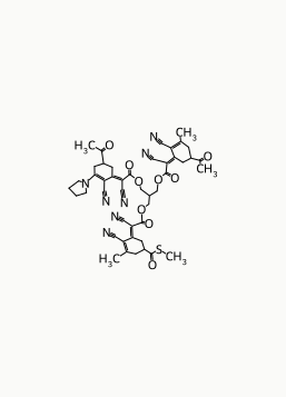 CSC(=O)C1CC(C)=C(C#N)/C(=C(\C#N)C(=O)OCC(COC(=O)/C(C#N)=C2\CC(C(C)=O)CC(C)=C2C#N)COC(=O)/C(C#N)=C2\CC(C(C)=O)CC(N3CCCC3)=C2C#N)C1